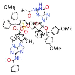 [C-]#[N+]CCOP(=S)(OC[C@H]1O[C@@H](n2cnc3c(=O)[nH]c(NC(=O)C(C)C)nc32)[C@H](OC(c2ccccc2)(c2ccc(OC)cc2)c2ccc(OC)cc2)[C@@H]1OC)O[C@H]1[C@@H](C)[C@H](n2cnc3c(NC(=O)c4ccccc4)ncnc32)[C@H]2C[C@@]21COC(c1ccccc1)(c1ccc(OC)cc1)c1ccc(OC)cc1